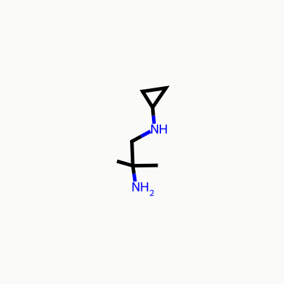 CC(C)(N)CNC1CC1